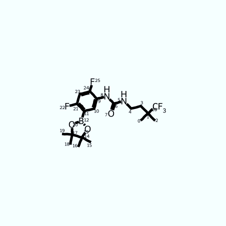 CC(C)(CCNC(=O)Nc1cc(B2OC(C)(C)C(C)(C)O2)c(F)cc1F)C(F)(F)F